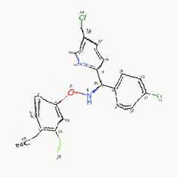 N#Cc1ccc(ON[C@H](c2ccc(Cl)cc2)c2ccc(Cl)cn2)cc1F